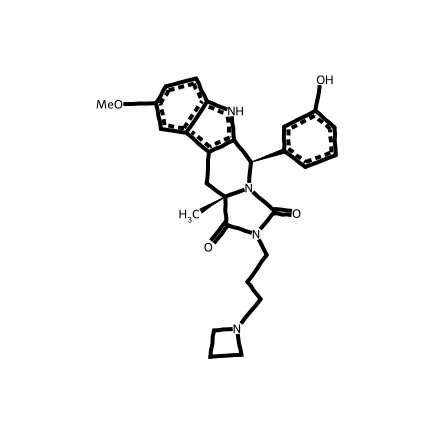 COc1ccc2[nH]c3c(c2c1)C[C@@]1(C)C(=O)N(CCCN2CCC2)C(=O)N1[C@@H]3c1cccc(O)c1